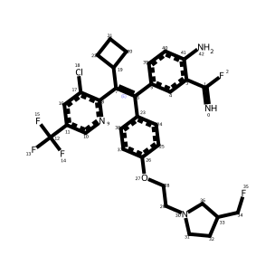 N=C(F)c1cc(/C(=C(/c2ncc(C(F)(F)F)cc2Cl)C2CCC2)c2ccc(OCCN3CCC(CF)C3)cc2)ccc1N